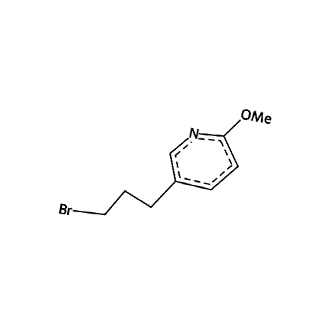 COc1ccc(CCCBr)cn1